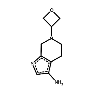 Nc1csc2c1CCN(C1COC1)C2